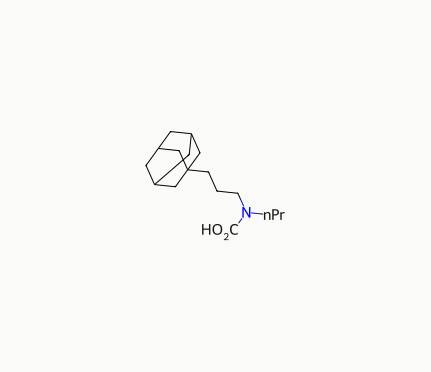 CCCN(CCCC12CC3CC(CC(C3)C1)C2)C(=O)O